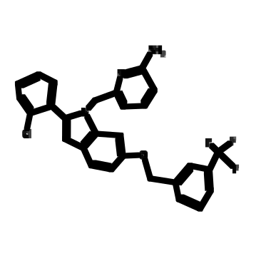 Nc1cccc(Cn2c(-c3ccccc3Cl)cc3ccc(OCc4cccc(C(F)(F)F)c4)cc32)n1